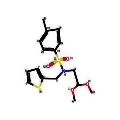 COC(CN(Cc1cccs1)S(=O)(=O)c1ccc(C)cc1)OC